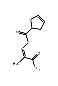 CC(=O)/C(C)=N\OC(=O)C1CC=CO1